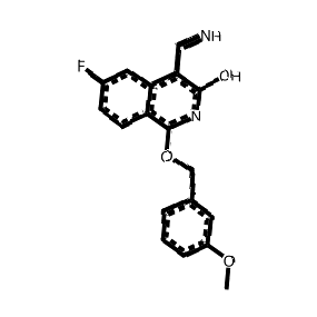 COc1cccc(COc2nc(O)c(C=N)c3cc(F)ccc23)c1